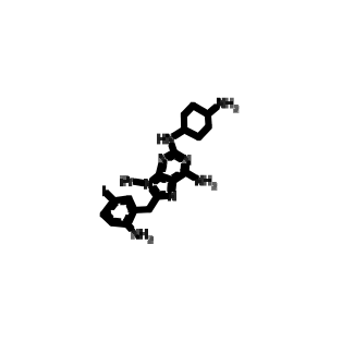 CC(C)n1c(Cc2cc(I)ccc2N)nc2c(N)nc(NC3CCC(N)CC3)nc21